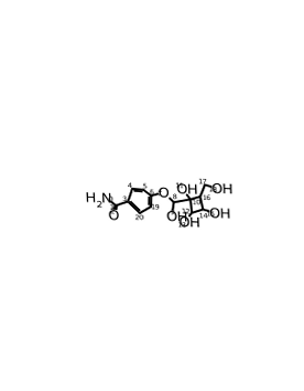 NC(=O)c1ccc(OC(O)C2(O)C(O)C(O)C2CO)cc1